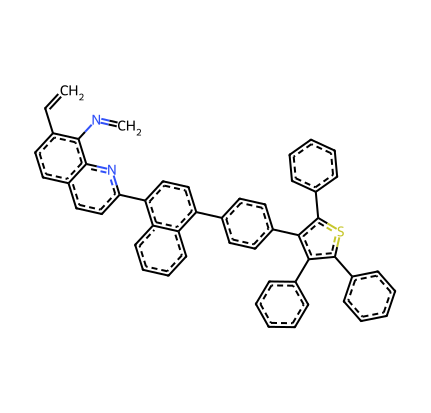 C=Cc1ccc2ccc(-c3ccc(-c4ccc(-c5c(-c6ccccc6)sc(-c6ccccc6)c5-c5ccccc5)cc4)c4ccccc34)nc2c1N=C